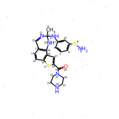 CC1(Nc2cccc(SN)c2)N=Cc2ccc3sc(C(=O)N4CCNCC4)cc3c2N1